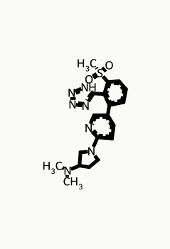 CN(C)C1CCN(c2ccc(-c3cccc(S(C)(=O)=O)c3-c3nnn[nH]3)cn2)C1